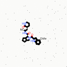 COc1cccc2[nH]c(C(=O)N3CC4CCCC4[C@H]3C(=O)NC(C#N)C[C@@H]3CCCNC3=O)cc12